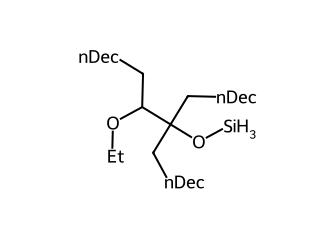 CCCCCCCCCCCC(OCC)C(CCCCCCCCCCC)(CCCCCCCCCCC)O[SiH3]